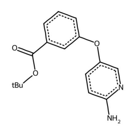 CC(C)(C)OC(=O)c1cccc(Oc2ccc(N)nc2)c1